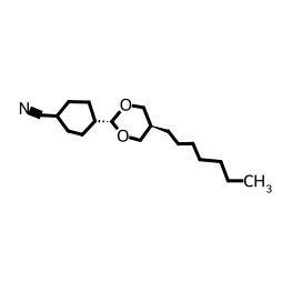 CCCCCCC[C@H]1CO[C@H](C2CCC(C#N)CC2)OC1